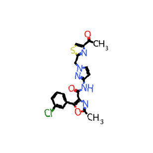 CC(=O)c1csc(Cn2ccc(NC(=O)c3nc(C)oc3-c3cccc(Cl)c3)n2)n1